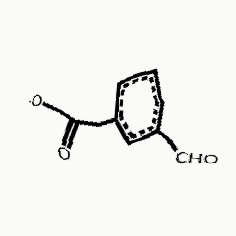 [O]C(=O)c1cccc(C=O)c1